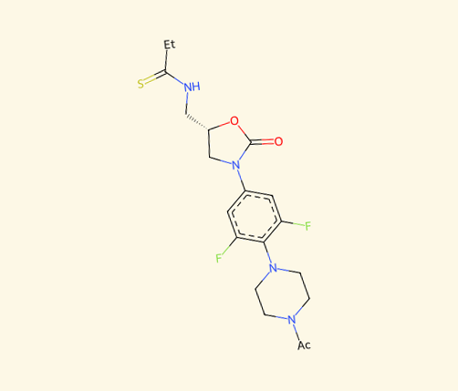 CCC(=S)NC[C@H]1CN(c2cc(F)c(N3CCN(C(C)=O)CC3)c(F)c2)C(=O)O1